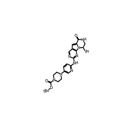 CC(C)C1CNC(=O)c2cc3cnc(Nc4ccc(N5CCN(C(=O)OC(C)(C)C)CC5)cn4)nc3n21